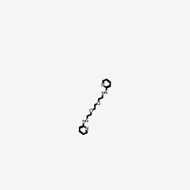 c1ccc(SSCCOCCOCCSSc2ccccn2)nc1